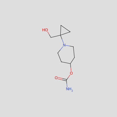 NC(=O)OC1CCN(C2(CO)CC2)CC1